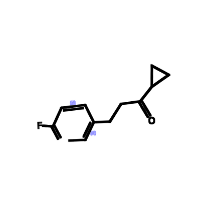 C=C(F)/C=C\C(=C/C)CCC(=O)C1CC1